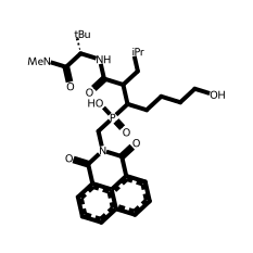 CNC(=O)[C@@H](NC(=O)C(CC(C)C)C(CCCCO)P(=O)(O)CN1C(=O)c2cccc3cccc(c23)C1=O)C(C)(C)C